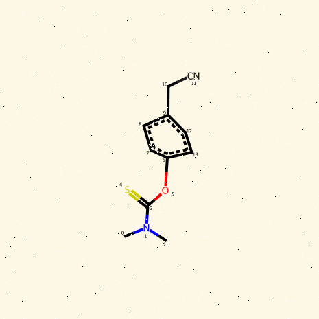 CN(C)C(=S)Oc1ccc(CC#N)cc1